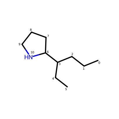 CCCC(CC)C1CCCN1